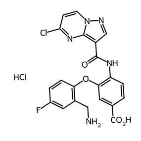 Cl.NCc1cc(F)ccc1Oc1cc(C(=O)O)ccc1NC(=O)c1cnn2ccc(Cl)nc12